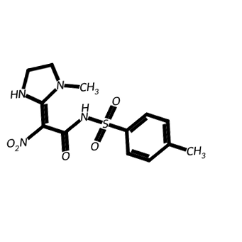 Cc1ccc(S(=O)(=O)NC(=O)C(=C2NCCN2C)[N+](=O)[O-])cc1